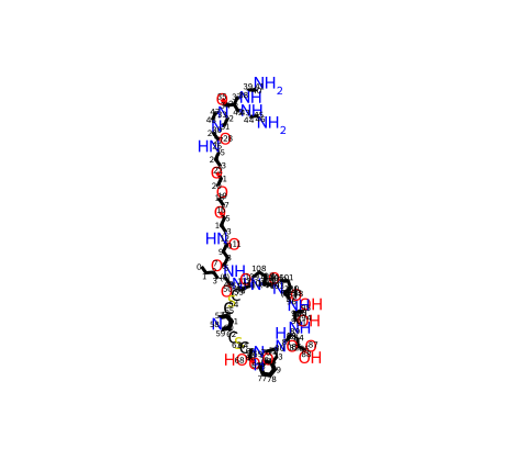 CCCC[C@H](NC(=O)CCC(=O)NCCCOCCOCCOCCCNC(=O)CN1CCN(C(=O)C(CNCCN)CNCCN)CC1)C(=O)N[C@H]1CSCc2cncc(c2)CSCC(C(=O)O)NC(=O)[C@H](Cc2ccccc2)NC(=O)[C@H](CCC(=O)O)NC(O)[C@H]([C@@H](C)O)NC(=O)[C@@H]2CCCN2C(=O)[C@@H]2CCCN2C1=O